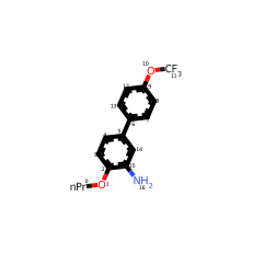 CCCOc1ccc(-c2ccc(OC(F)(F)F)cc2)cc1N